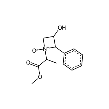 COC(=O)C(C)[N+]1([O-])CC(O)C1c1ccccc1